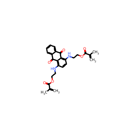 C=C(C)C(=O)OCCNc1ccc(NCCOC(=O)C(=C)C)c2c1C(=O)c1ccccc1C2=O